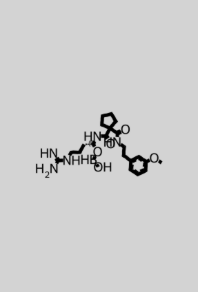 COc1cccc(CCNC(=O)C2(C(=O)N[C@@H](CCCNC(=N)N)OBO)CCCC2)c1